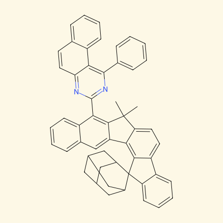 CC1(C)c2ccc3c(c2-c2cc4ccccc4c(-c4nc(-c5ccccc5)c5c(ccc6ccccc65)n4)c21)C1(c2ccccc2-3)C2CC3CC(C2)CC1C3